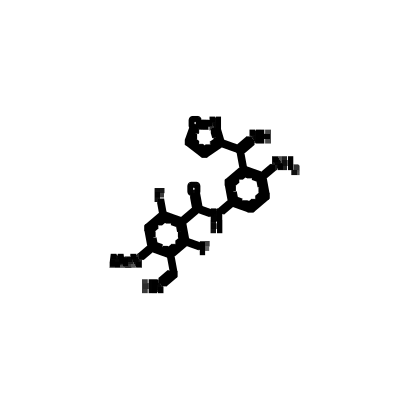 CNc1cc(F)c(C(=O)Nc2ccc(N)c(C(=N)c3ccon3)c2)c(F)c1C=N